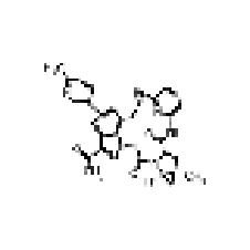 CC(=O)c1nn(CC(=O)N2[C@H](C(=O)Nc3cccc(Br)n3)C[C@@]3(C)C[C@@H]23)c2c(CF)cc(-c3cnc(C)nc3)cc12